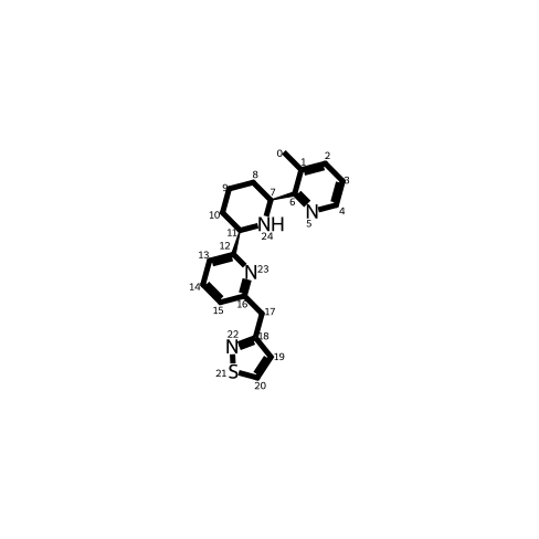 Cc1cccnc1[C@@H]1CCC[C@H](c2cccc(Cc3ccsn3)n2)N1